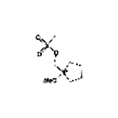 CO[N+]1(COS(C)(=O)=O)CCCC1